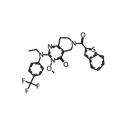 CCN(c1ccc(C(F)(F)F)cc1)c1nc2c(c(=O)n1OC)CN(C(=O)c1cc3ccccc3s1)CC2